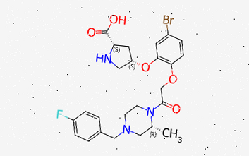 C[C@@H]1CN(Cc2ccc(F)cc2)CCN1C(=O)COc1ccc(Br)cc1O[C@@H]1CN[C@H](C(=O)O)C1